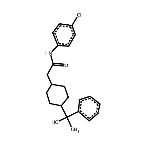 CC(O)(c1ccccc1)C1CCC(CC(=O)Nc2ccc(Cl)cc2)CC1